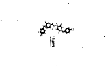 CC1CN(Cc2ccc(Cl)cc2)C(C)CN1CCCN1CC(C)N(Cc2ccc(Cl)cc2)CC1C.Cl.Cl.Cl.Cl.O.O